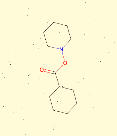 O=C(ON1CCCCC1)C1CCCCC1